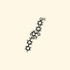 Cc1c(NCc2ccc(-c3ccccc3)cc2)ncnc1C(=O)N1CCC(N2CCC(O)CC2)CC1